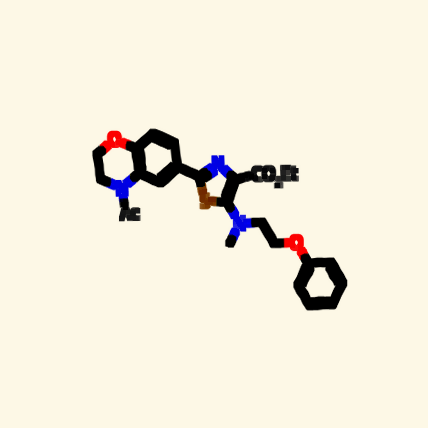 CCOC(=O)c1nc(-c2ccc3c(c2)N(C(C)=O)CCO3)sc1N(C)CCOc1ccccc1